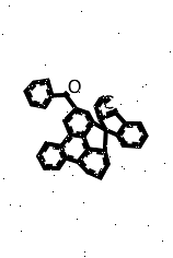 O=C(c1ccccc1)c1cc2c3c(c1)c1ccccc1c1cccc(c13)C21c2ccccc2-c2ccccc21